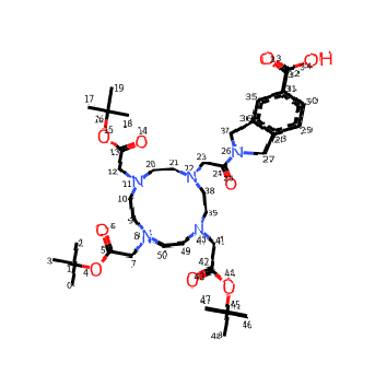 CC(C)(C)OC(=O)CN1CCN(CC(=O)OC(C)(C)C)CCN(CC(=O)N2Cc3ccc(C(=O)O)cc3C2)CCN(CC(=O)OC(C)(C)C)CC1